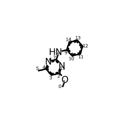 COc1cc(C)nc(Nc2ccccc2)n1